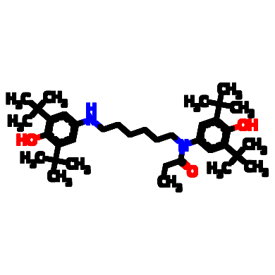 CCC(=O)N(CCCCCCNc1cc(C(C)(C)C)c(O)c(C(C)(C)C)c1)c1cc(C(C)(C)C)c(O)c(C(C)(C)C)c1